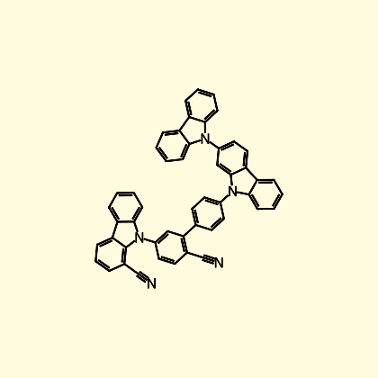 N#Cc1ccc(-n2c3ccccc3c3cccc(C#N)c32)cc1-c1ccc(-n2c3ccccc3c3ccc(-n4c5ccccc5c5ccccc54)cc32)cc1